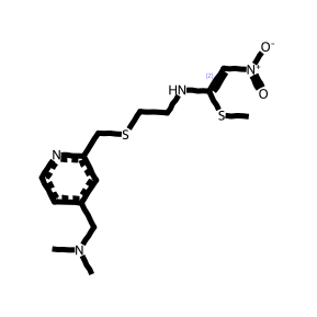 CS/C(=C\[N+](=O)[O-])NCCSCc1cc(CN(C)C)ccn1